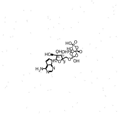 C#C[C@]1(O)[C@H](n2ccc3c(N)ncnc32)O[C@](F)(COP(=O)(O)OP(=O)(O)OP(=O)(O)O)[C@H]1O